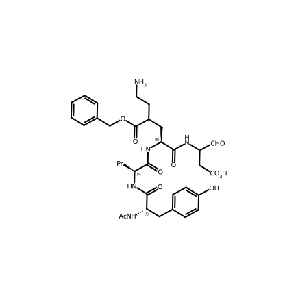 CC(=O)N[C@@H](Cc1ccc(O)cc1)C(=O)N[C@H](C(=O)N[C@@H](CC(CCN)C(=O)OCc1ccccc1)C(=O)NC(C=O)CC(=O)O)C(C)C